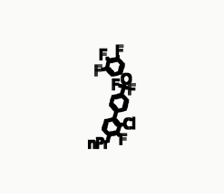 CCCc1ccc(-c2ccc(C(F)(F)Oc3cc(F)c(F)c(F)c3)cc2)c(Cl)c1F